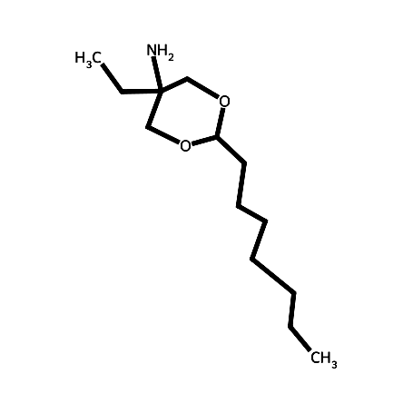 CCCCCCCC1OCC(N)(CC)CO1